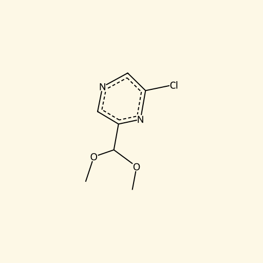 COC(OC)c1cncc(Cl)n1